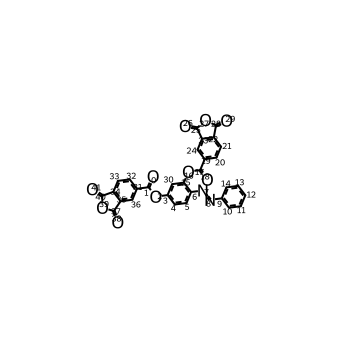 O=C(Oc1ccc(N=Nc2ccccc2)c(OC(=O)c2ccc3c(c2)C(=O)OC3=O)c1)c1ccc2c(c1)C(=O)OC2=O